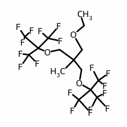 CCOCC(C)(COC(C(F)(F)F)(C(F)(F)F)C(F)(F)F)COC(C(F)(F)F)(C(F)(F)F)C(F)(F)F